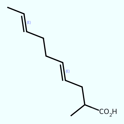 C/C=C/CC/C=C/CC(C)C(=O)O